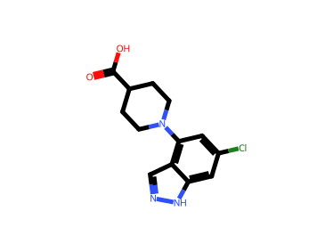 O=C(O)C1CCN(c2cc(Cl)cc3[nH]ncc23)CC1